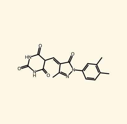 CC1=NN(c2ccc(C)c(C)c2)C(=O)/C1=C/C1C(=O)NC(=O)NC1=O